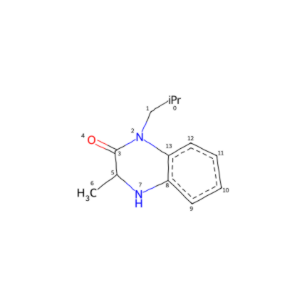 CC(C)CN1C(=O)C(C)Nc2ccccc21